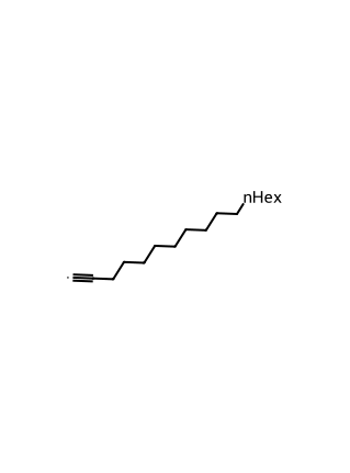 [C]#CCCCCCCCCCCCCCC[CH2]